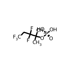 CC(C)(OP(=O)(O)O)C(F)(F)CC(F)(F)F